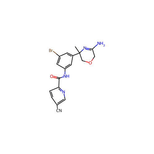 CC1(c2cc(Br)cc(NC(=O)c3ccc(C#N)cn3)c2)COCC(N)=N1